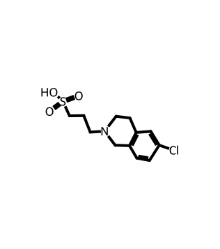 O=S(=O)(O)CCCN1CCc2cc(Cl)ccc2C1